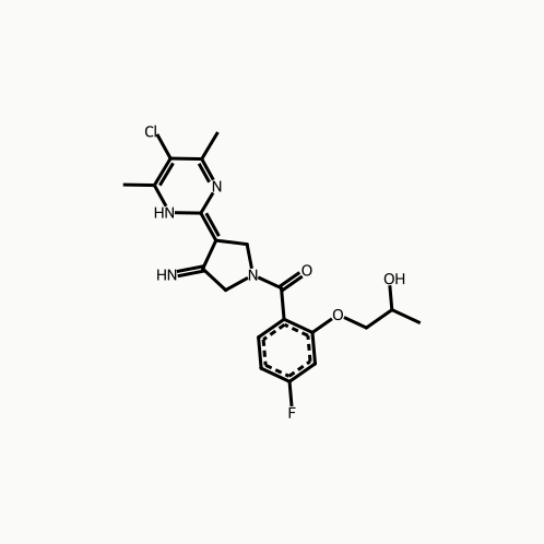 CC1=N/C(=C2\CN(C(=O)c3ccc(F)cc3OCC(C)O)CC2=N)NC(C)=C1Cl